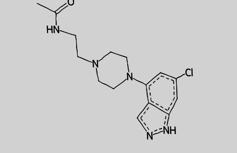 CC(=O)NCCN1CCN(c2cc(Cl)cc3[nH]ncc23)CC1